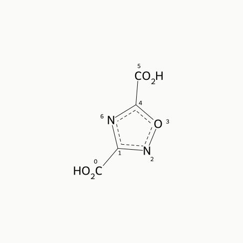 O=C(O)c1noc(C(=O)O)n1